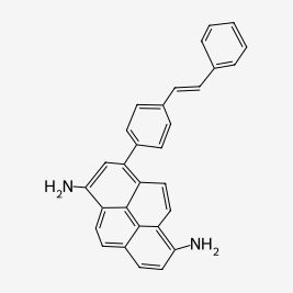 Nc1ccc2ccc3c(N)cc(-c4ccc(C=Cc5ccccc5)cc4)c4ccc1c2c34